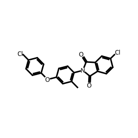 Cc1cc(Oc2ccc(Cl)cc2)ccc1N1C(=O)c2ccc(Cl)cc2C1=O